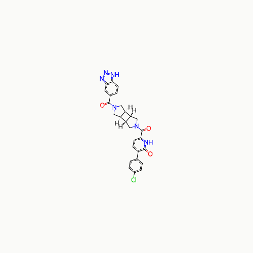 O=C(c1ccc2[nH]nnc2c1)N1C[C@@H]2[C@H](C1)[C@H]1CN(C(=O)c3ccc(-c4ccc(Cl)cc4)c(=O)[nH]3)C[C@@H]21